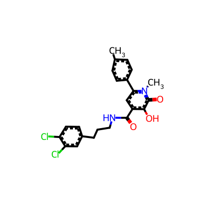 Cc1ccc(-c2cc(C(=O)NCCCc3ccc(Cl)c(Cl)c3)c(O)c(=O)n2C)cc1